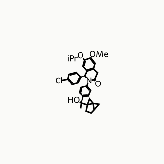 COc1cc2c(cc1OC(C)C)[C@H](c1ccc(Cl)cc1)N(c1ccc(C(C)(O)C34CCC5CC53C4)cc1)C(=O)C2